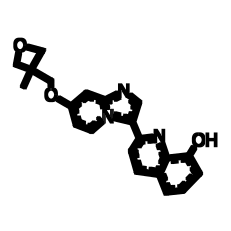 CC1(COc2ccn3c(-c4ccc5cccc(O)c5n4)cnc3c2)COC1